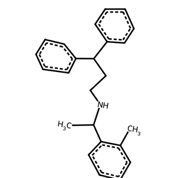 Cc1ccccc1C(C)NCCC(c1ccccc1)c1ccccc1